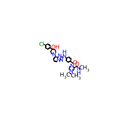 CNC(=O)C1CN(C(C)C)CCN1C(=O)c1ccc(Nc2nc3c(N4CCC(O)(c5ccc(Cl)cc5)CC4)cccn3n2)cc1